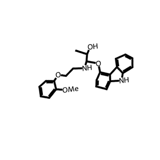 COc1ccccc1OCCNC(Oc1cccc2[nH]c3ccccc3c12)C(C)O